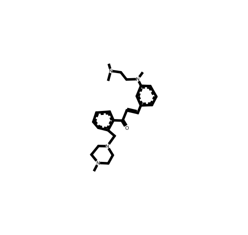 CN(C)CCN(C)c1cccc(C=CC(=O)c2ccccc2CN2CCN(C)CC2)c1